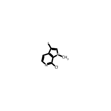 Cn1cc(I)c2ccnc(Cl)c21